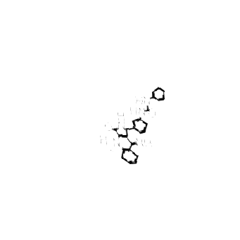 N=C(C1=C(N)C(=O)NC1c1cccc(NC(=O)Nc2ccccc2)c1)c1ccccc1